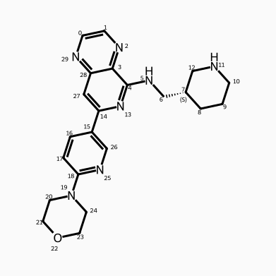 c1cnc2c(NC[C@H]3CCCNC3)nc(-c3ccc(N4CCOCC4)nc3)cc2n1